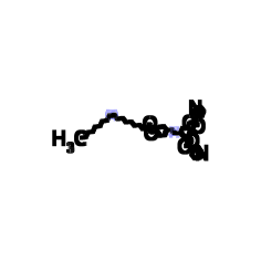 CCCCCCCC/C=C\CCCCCCCC(=O)Oc1ccc(/C=C/c2cc(OC(=O)c3cccnc3)cc(OC(=O)c3cccnc3)c2)cc1